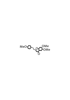 COc1ccc(CCc2cc(=O)c3cc(OC)c(OC)cc3o2)cc1